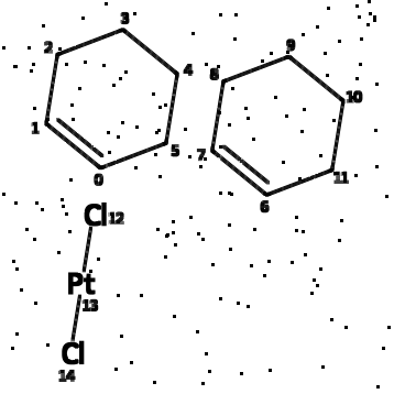 C1=CCCCC1.C1=CCCCC1.[Cl][Pt][Cl]